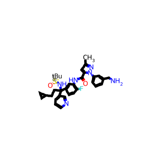 Cc1cc(C(=O)Nc2cc(C(CCC3CC3)(N[S@+]([O-])C(C)(C)C)c3cccnc3)ccc2F)n(-c2cccc(CN)c2)n1